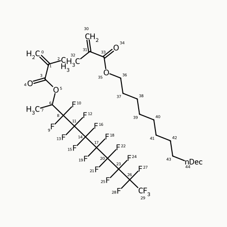 C=C(C)C(=O)OC(C)C(F)(F)C(F)(F)C(F)(F)C(F)(F)C(F)(F)C(F)(F)C(F)(F)C(F)(F)F.C=C(C)C(=O)OCCCCCCCCCCCCCCCCCC